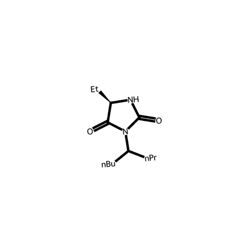 CCCCC(CCC)N1C(=O)N[C@H](CC)C1=O